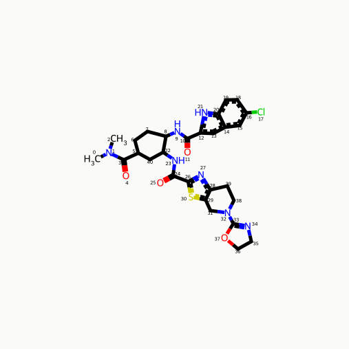 CN(C)C(=O)C1CCC(NC(=O)c2cc3cc(Cl)ccc3[nH]2)C(NC(=O)c2nc3c(s2)CN(C2=NCCO2)CC3)C1